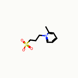 Cc1cccc[n+]1CCCS(=O)(=O)[O-]